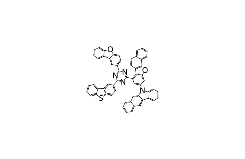 c1ccc2cc3c(cc2c1)c1ccccc1n3-c1cc(-c2nc(-c3ccc4oc5ccccc5c4c3)nc(-c3ccc4sc5ccccc5c4c3)n2)c2c(c1)oc1c3ccccc3ccc12